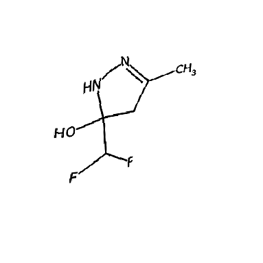 CC1=NNC(O)(C(F)F)C1